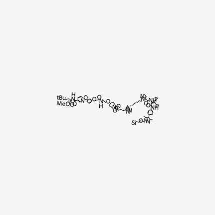 COC(=O)[C@H](CCC(C)(C)C)NC(=O)c1ccc(Oc2cccc(OCC(=O)NCCOC3CCN(S(=O)(=O)CCCc4cn(CCCCCCn5nccc5C(=O)N[C@H](C(=O)Nc5ccc(-c6c(C)nn(COCC[Si](C)(C)C)c6C)cc5)C(C5CC5)C5CC5)nn4)CC3)c2)nc1